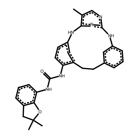 Cc1cnc2nc1Nc1ccc(NC(=O)Nc3cccc4c3OC(C)(C)C4)c(c1)CCc1cccc(c1)N2